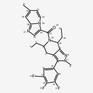 CCC1Cc2c(nn(C)c2-c2cc(F)c(F)c(F)c2)C(CC)N1C(=O)c1cnc2cc(C)ccn12